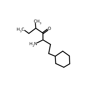 CCC(C)C(=O)C(N)CCC1CCCCC1